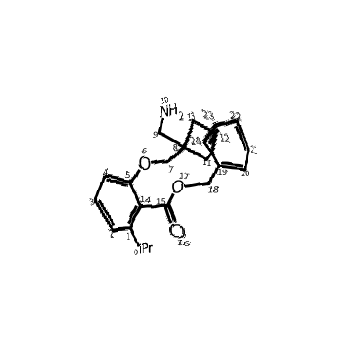 CC(C)c1cccc(OCC2(CN)CCC2)c1C(=O)OCc1ccccc1